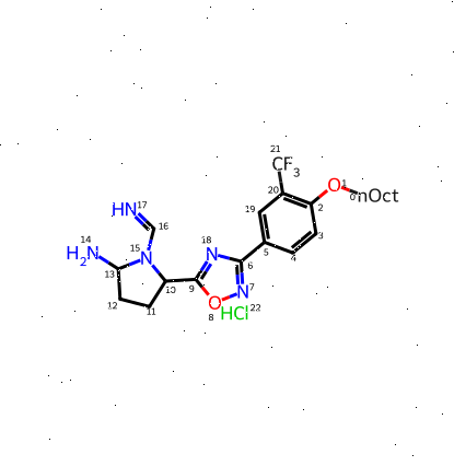 CCCCCCCCOc1ccc(-c2noc(C3CCC(N)N3C=N)n2)cc1C(F)(F)F.Cl